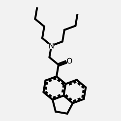 CCCCN(CCCC)CC(=O)c1ccc2c3c(cccc13)CC2